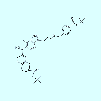 Cc1c(C(O)c2ccc3c(c2)CN(C(=O)CC(C)(C)C)CC3)ccc2c1nnn2CCCOCc1ccc(C(=O)OC(C)(C)C)cc1